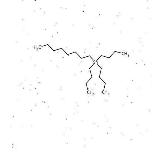 [CH2]CCCCCC[CH2][Sn]([CH2]CCC)([CH2]CCC)[CH2]CCC